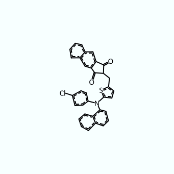 O=C1c2cc3ccccc3cc2C(=O)C1Cc1ccc(N(c2ccc(Cl)cc2)c2cccc3ccccc23)s1